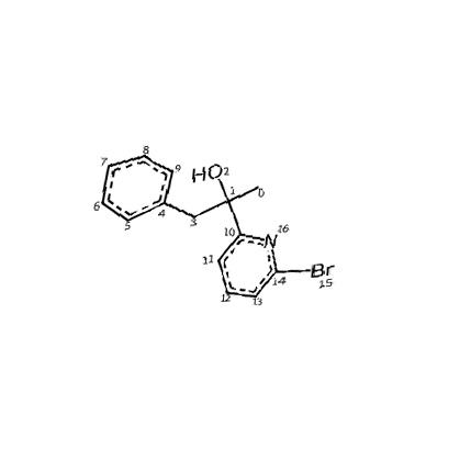 CC(O)(Cc1ccccc1)c1cccc(Br)n1